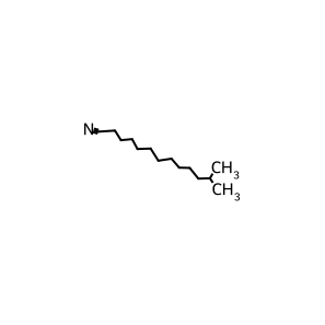 CC(C)CCCCCCCCCCC#N